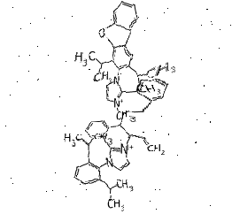 C=CC1C(CCc2ccccc2-c2n(-c3c(C(C)C)cc4c(oc5ccccc54)c3C(C)C)cc[n+]2C)c2ccccc2-c2n(-c3c(C(C)C)cccc3C(C)C)cc[n+]21